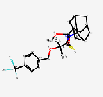 COC(=O)C12CC3CC(C1)C(NC(=S)C(C)(C)OCc1ccc(C(F)(F)F)cc1)C(C3)C2